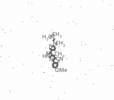 COc1ccc(-c2nc3[nH]nc(-c4ccc(N(C)CCN(C)C)nc4)c3c(C)c2C#N)c(F)c1